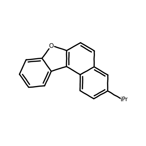 CC(C)c1ccc2c(ccc3oc4ccccc4c32)c1